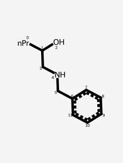 CCCC(O)CNCc1ccccc1